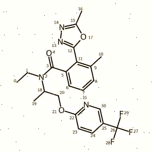 CCN(C(=O)c1cccc(C)c1-c1nnc(C)o1)C(C)COc1ccc(C(F)(F)F)cn1